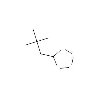 CC(C)(C)CC1SSSS1